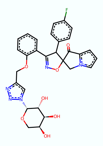 O=C1c2cccn2CC12ON=C(c1ccccc1OCc1cn([C@H]3OC[C@H](O)[C@H](O)[C@H]3O)nn1)C2c1ccc(F)cc1